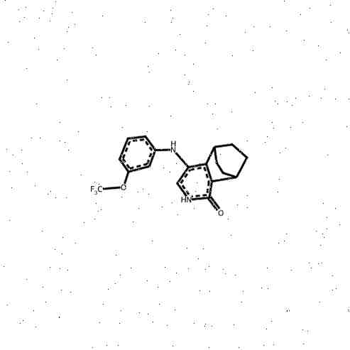 O=c1[nH]cc(Nc2cccc(OC(F)(F)F)c2)c2c1C1CCC2CC1